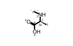 [C]N[C@@H](C)C(=O)O